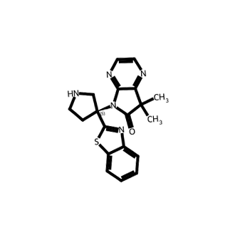 CC1(C)C(=O)N([C@@]2(c3nc4ccccc4s3)CCNC2)c2nccnc21